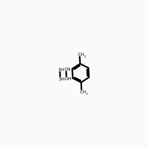 Cc1ccc(C)cc1.N#CO.SS